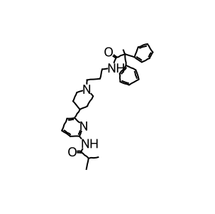 CC(C)C(=O)Nc1cccc(C2CCN(CCCNC(=O)C(C)(c3ccccc3)c3ccccc3)CC2)n1